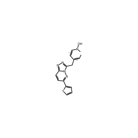 C/C=C(\C=C/N(C)O)Cc1nnc2ccc(-c3cccs3)nn12